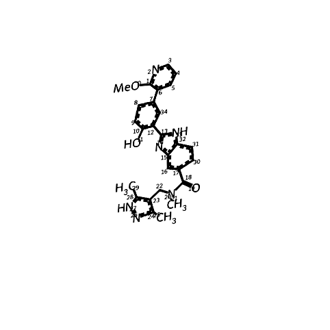 COc1ncccc1-c1ccc(O)c(-c2nc3cc(C(=O)N(C)Cc4c(C)n[nH]c4C)ccc3[nH]2)c1